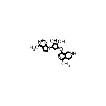 Cc1ncc(OC2CC(n3ccc4c(C)ncnc43)[C@H](O)[C@@H]2O)c2c1CCNC2